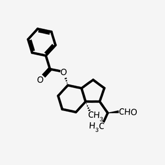 C[C@H](C=O)C1CCC2[C@@H](OC(=O)c3ccccc3)CCC[C@]12C